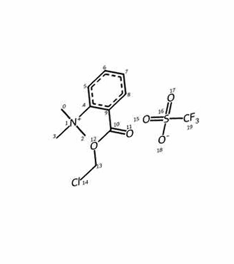 C[N+](C)(C)c1ccccc1C(=O)OCCl.O=S(=O)([O-])C(F)(F)F